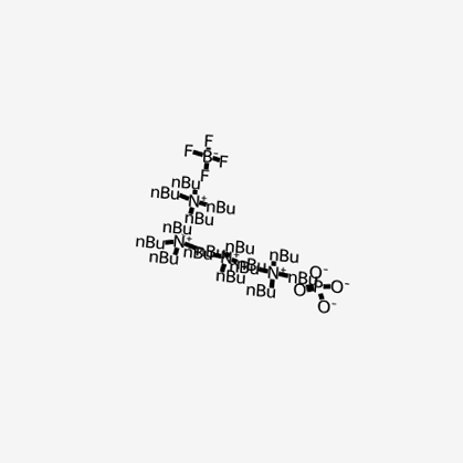 CCCC[N+](CCCC)(CCCC)CCCC.CCCC[N+](CCCC)(CCCC)CCCC.CCCC[N+](CCCC)(CCCC)CCCC.CCCC[N+](CCCC)(CCCC)CCCC.F[B-](F)(F)F.O=P([O-])([O-])[O-]